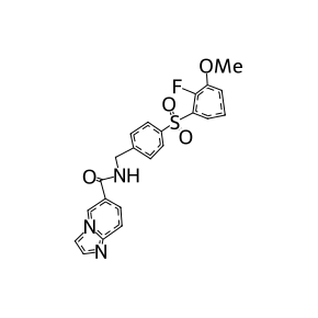 COc1cccc(S(=O)(=O)c2ccc(CNC(=O)c3ccc4nccn4c3)cc2)c1F